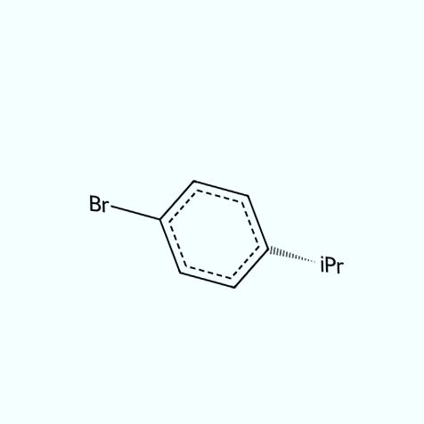 [CH2][C@@H](C)c1ccc(Br)cc1